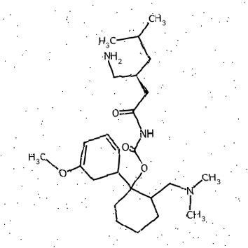 COC1=CC=CC(C2(OC(=O)NC(=O)C[C@@H](CN)CC(C)C)CCCCC2CN(C)C)C1